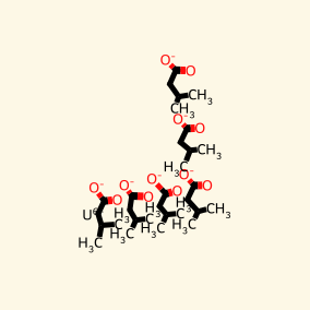 CC(C)CC(=O)[O-].CC(C)CC(=O)[O-].CC(C)CC(=O)[O-].CC(C)CC(=O)[O-].CC(C)CC(=O)[O-].CC(C)CC(=O)[O-].[U+6]